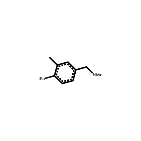 CNCc1ccc(C(C)(C)C)c(C)c1